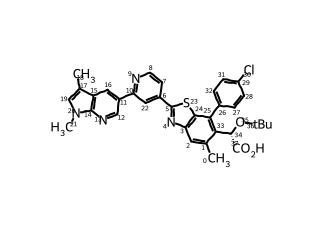 Cc1cc2nc(-c3ccnc(-c4cnc5c(c4)c(C)cn5C)c3)sc2c(-c2ccc(Cl)cc2)c1[C@H](OC(C)(C)C)C(=O)O